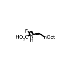 CCCCCCCCCCC#Cc1cc(F)c(C(=O)O)[nH]1